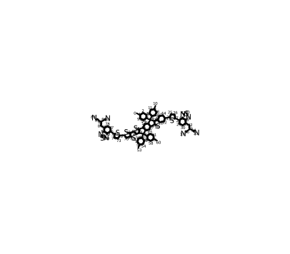 Cc1ccc(C2(c3ccc(C)cc3)c3cc4c(cc3-c3sc5cc(-c6ccc(-c7ccc(C=C(C#N)C#N)c8nsnc78)s6)ccc5c32)C(c2ccc(C)cc2)(c2ccc(C)cc2)c2c-4sc3c2sc2cc(-c4ccc(-c5ccc(C=C(C#N)C#N)c6nsnc56)s4)sc23)cc1